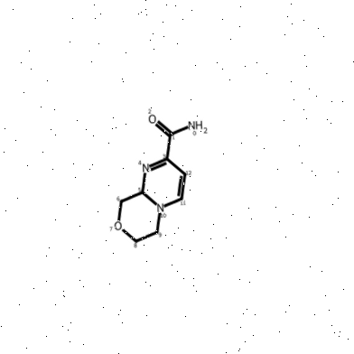 NC(=O)C1=NC2COCCN2C=C1